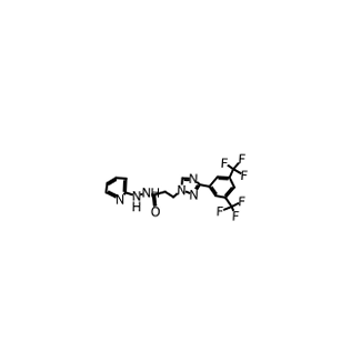 O=C(CCn1cnc(-c2cc(C(F)(F)F)cc(C(F)(F)F)c2)n1)NNc1ccccn1